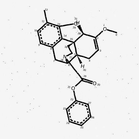 COC1=CC[C@@H]2C3Cc4ccc(C)c5c4[C@]2(CCN3C(=O)Oc2ccccc2)[C@@H]1O5